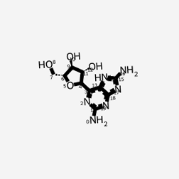 Nc1nc(C2O[C@H](CO)[C@@H](O)[C@@H]2O)c2[nH]c(N)nc2n1